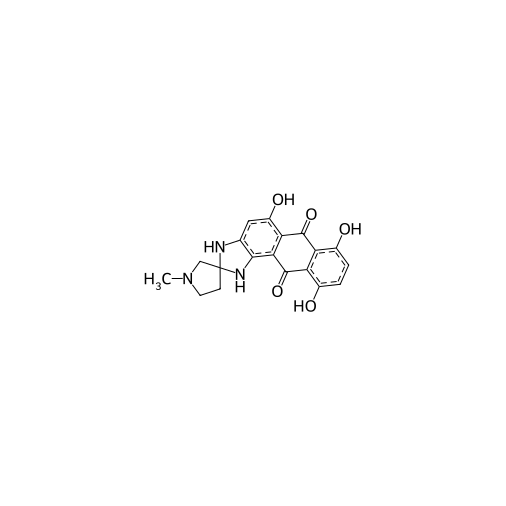 CN1CCC2(C1)Nc1cc(O)c3c(c1N2)C(=O)c1c(O)ccc(O)c1C3=O